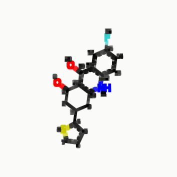 O=C1CC(c2cccs2)Cc2[nH]c3ccc(F)cc3c(=O)c21